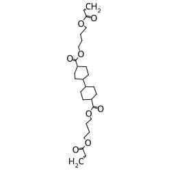 C=CC(=O)OCCCCOC(=O)C1CCC(C2CCC(C(=O)OCCCCOC(=O)C=C)CC2)CC1